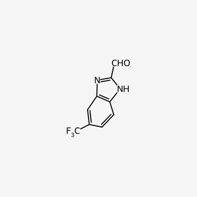 O=Cc1nc2cc(C(F)(F)F)ccc2[nH]1